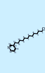 ClCCCCCCCCCCCCc1cccnc1